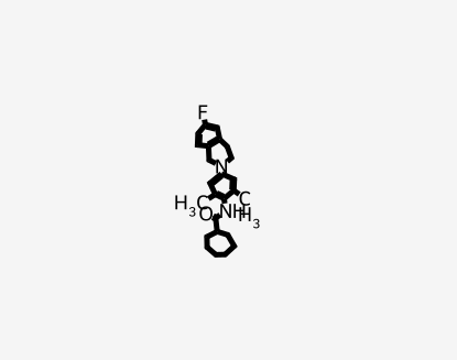 Cc1cc(N2CCc3cc(F)ccc3C2)cc(C)c1NC(=O)C1CCCCCC1